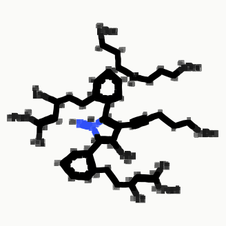 CCCCCCCCCCCCCC#CC1=C(c2ccccc2CCC(C=C(CC)CCCCC)CC)[N+](=[N-])C(c2ccccc2CCC(C=C(CC)CCCCC)CC)=C1CCCC.CCCCCCCCCCCC[CH2][Ni][CH2]CCCCCCCCCCCC